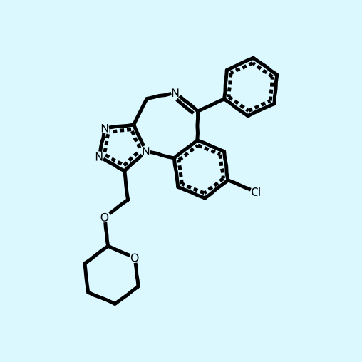 Clc1ccc2c(c1)C(c1ccccc1)=NCc1nnc(COC3CCCCO3)n1-2